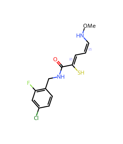 CON/C=C\C=C(/S)C(=O)NCc1ccc(Cl)cc1F